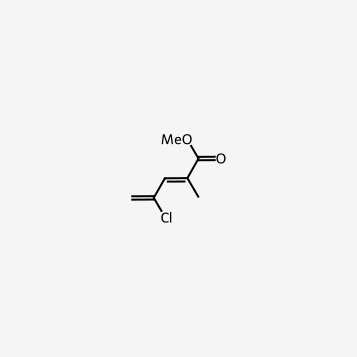 C=C(Cl)C=C(C)C(=O)OC